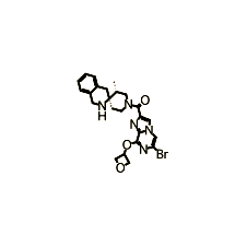 C[C@@H]1CN(C(=O)c2cn3cc(Br)nc(OC4COC4)c3n2)CC[C@]12Cc1ccccc1CN2